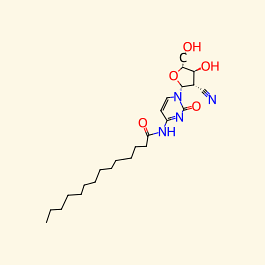 CCCCCCCCCCCCCC(=O)Nc1ccn([C@@H]2O[C@H](CO)[C@@H](O)[C@@H]2C#N)c(=O)n1